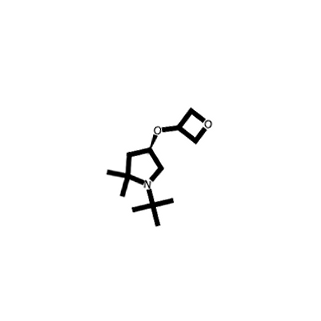 CC(C)(C)N1C[C@H](OC2COC2)CC1(C)C